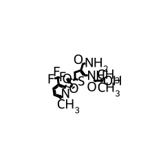 Cc1ccc(C(F)(F)F)c(S(=O)(=O)C2CC(C(N)=O)=C(NC(=O)C(C)(C)O)S2)n1